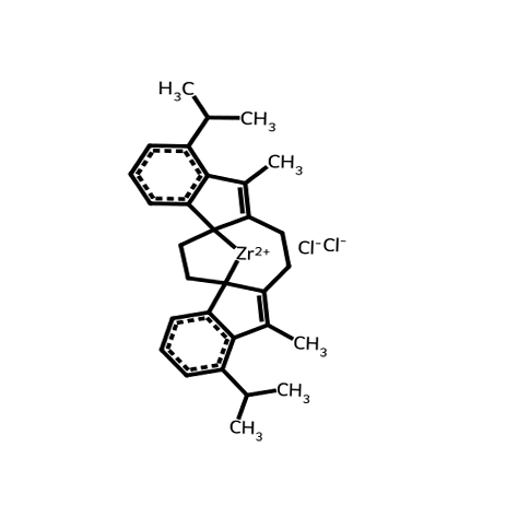 CC1=C2CCC3=C(C)c4c(C(C)C)cccc4[C]34CC[C]2([Zr+2]4)c2cccc(C(C)C)c21.[Cl-].[Cl-]